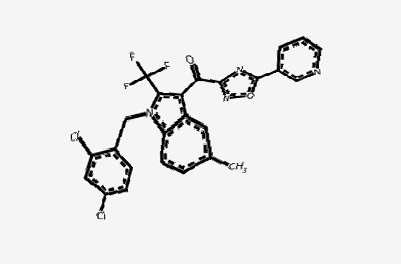 Cc1ccc2c(c1)c(C(=O)c1noc(-c3cccnc3)n1)c(C(F)(F)F)n2Cc1ccc(Cl)cc1Cl